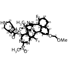 COCOc1cc(-c2c(F)c3nc([S+](C)[O-])nc(OC(=O)N4C5CCC4CNC5)c3c3cncn23)c2c(C#C[Si](C)(C)C)c(F)ccc2c1